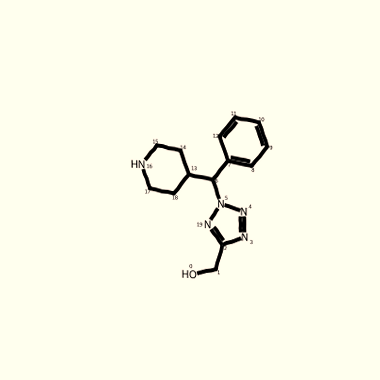 OCc1nnn(C(c2ccccc2)C2CCNCC2)n1